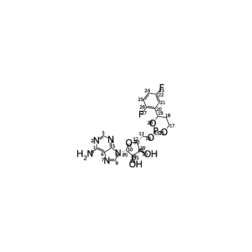 Nc1ncnc2c1ncn2[C@@H]1O[C@H](COP2OCCC(c3cc(F)ccc3F)O2)[C@@H](O)[C@H]1O